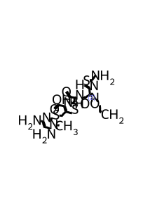 C=CCO/N=C(\C(=O)NC1C(=O)N2C(C(=O)O)=C(CSC3=NC(N)=CC(N)N3C)CS[C@@H]12)c1csc(N)n1